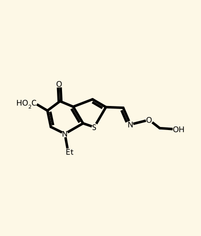 CCn1cc(C(=O)O)c(=O)c2cc(/C=N/OCO)sc21